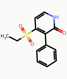 CCS(=O)(=O)c1cc[nH]c(=O)c1-c1ccccc1